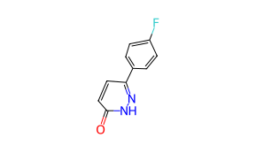 O=c1ccc(-c2ccc(F)cc2)n[nH]1